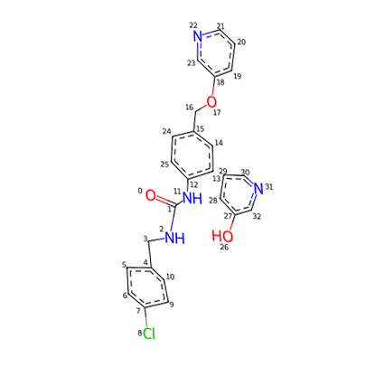 O=C(NCc1ccc(Cl)cc1)Nc1ccc(COc2cccnc2)cc1.Oc1cccnc1